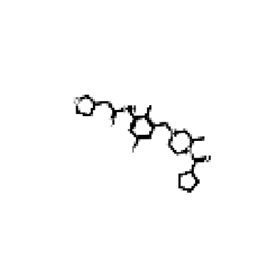 Cc1c(CN2CCN(C(=O)C3CCCC3)C(C)C2)cc(F)cc1NC(=O)CC1CCOC1